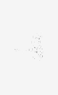 COCCOc1ccc(C(=O)Nc2cccnc2C(=O)Nc2ccc(Cl)cn2)c(OC2CCNCC2)c1.O=C(O)C(F)(F)F.O=C(O)C(F)(F)F